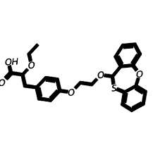 CCOC(Cc1ccc(OCCOC2Sc3ccccc3Oc3ccccc32)cc1)C(=O)O